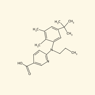 CCCN(c1ccc(C(=O)O)cn1)c1cc(C(C)(C)C)cc(C)c1C